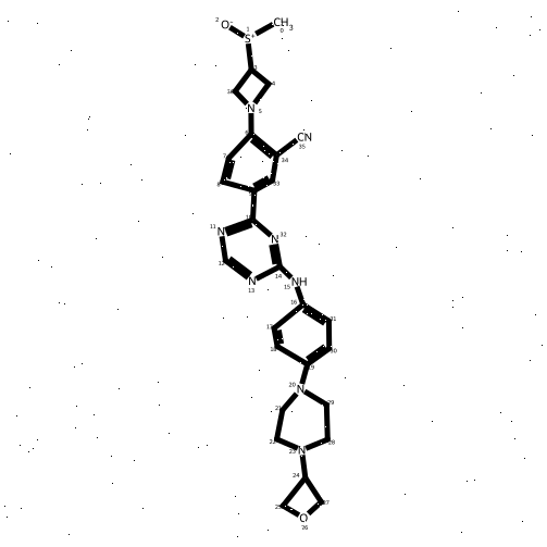 C[S+]([O-])C1CN(c2ccc(-c3ncnc(Nc4ccc(N5CCN(C6COC6)CC5)cc4)n3)cc2C#N)C1